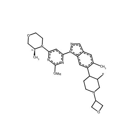 COc1nc(N2CCOC[C@@H]2C)cc(-n2ncc3cc(C)c(C4CCN(C5COC5)CC4F)cc32)n1